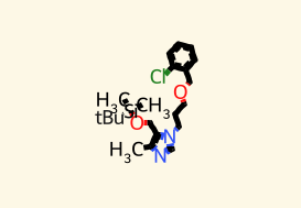 Cc1ncn(CCCOCc2ccccc2Cl)c1CO[Si](C)(C)C(C)(C)C